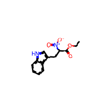 CCOC(=O)C(Cc1c[nH]c2ccccc12)[N+](=O)[O-]